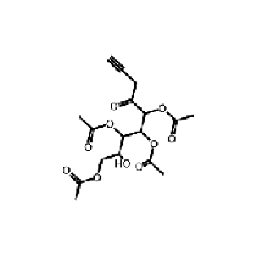 C#CCC(=O)C(OC(C)=O)C(OC(C)=O)C(OC(C)=O)C(O)COC(C)=O